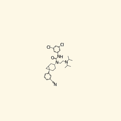 CC(C)N(CCN(C(=O)Nc1cc(Cl)cc(Cl)c1)[C@@H]1CC[C@]2(c3cccc(C#N)c3)CC2C1)C(C)C